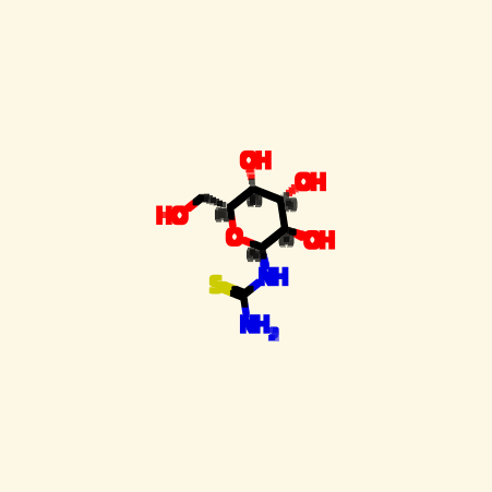 NC(=S)N[C@H]1O[C@H](CO)[C@H](O)[C@H](O)[C@H]1O